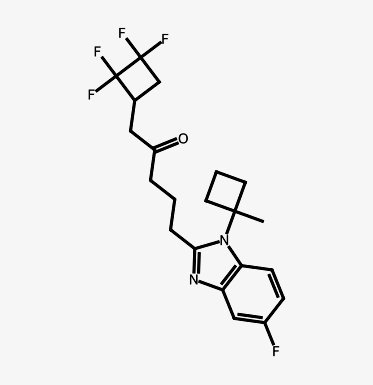 CC1(n2c(CCCC(=O)CC3CC(F)(F)C3(F)F)nc3cc(F)ccc32)CCC1